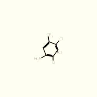 Cl.Nc1cc(C(F)(F)F)c(Cl)cc1Cl